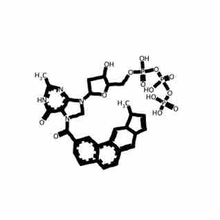 Cc1nc2c(c(=O)[nH]1)N(C(=O)c1ccc3ccc4c(c3c1)=CC1C(C)C=CC1C=4)CN2C1CC(O)C(COP(=O)(O)OP(=O)(O)OP(=O)(O)O)O1